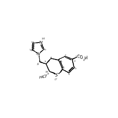 Cl.O=C(O)c1ccc2c(c1)CC(Cn1ccnc1)CS2